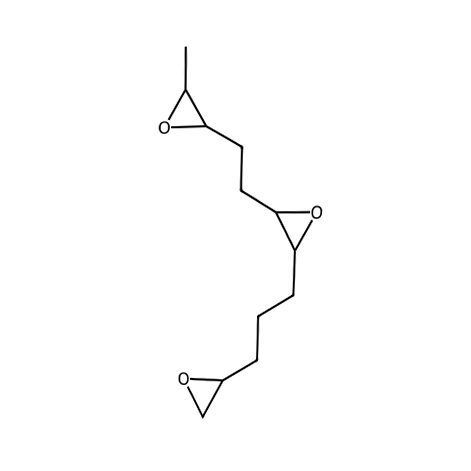 CC1OC1CCC1OC1CCCC1CO1